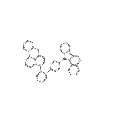 c1ccc2c(c1)Sc1ccc(-c3ccccc3-c3ccc(-n4c5ccccc5c5ccc6ccccc6c54)cc3)c3cccc-2c13